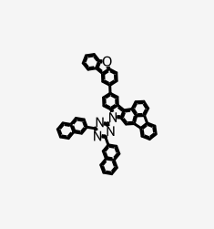 c1ccc2c(c1)-c1cccc3c1c-2cc1c3c2cc(-c3ccc4oc5ccccc5c4c3)ccc2n1-c1nc(-c2ccc3ccccc3c2)nc(-c2ccc3ccccc3c2)n1